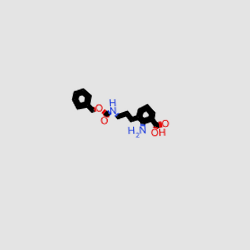 Nc1c(CCCNC(=O)OCc2ccccc2)cccc1C(=O)O